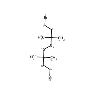 CC(C)(CCBr)SSC(C)(C)CCBr